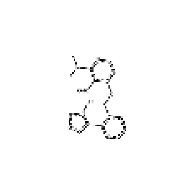 CC(C)n1nccc1-c1ncccc1COc1ccnc(N(C)C)c1C=O